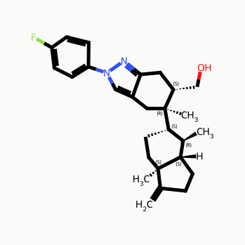 C=C1CC[C@H]2[C@H](C)[C@@H]([C@@]3(C)Cc4cn(-c5ccc(F)cc5)nc4C[C@@H]3CO)CC[C@]12C